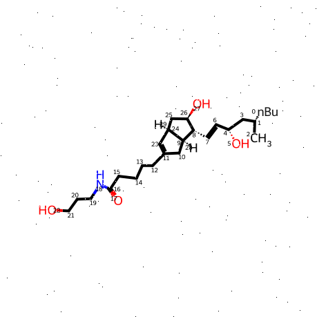 CCCC[C@H](C)C[C@H](O)/C=C/[C@@H]1[C@H]2CC(CCCCC(=O)NCCCO)=C[C@H]2C[C@H]1O